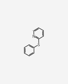 [c]1cccc(Sc2ccccc2)n1